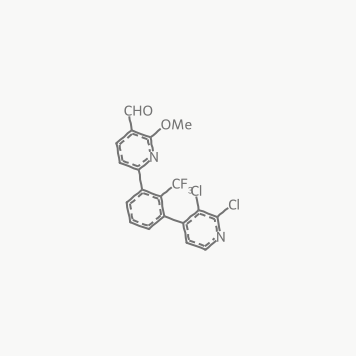 COc1nc(-c2cccc(-c3ccnc(Cl)c3Cl)c2C(F)(F)F)ccc1C=O